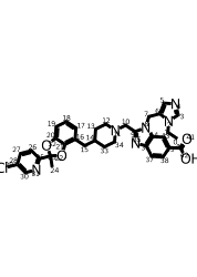 CCn1cncc1Cn1c(CN2CCC(Cc3cccc4c3OC(C)(c3ccc(Cl)cn3)O4)CC2)nc2ccc(C(=O)O)cc21